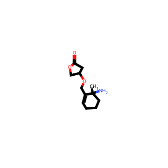 CC1(N)CCCC=C1COC1COC(=O)C1